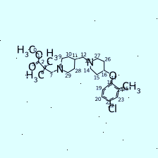 COC(=O)C(C)(C)CN1CCC(CN2CCC(Oc3ccc(Cl)cc3C)CC2)CC1